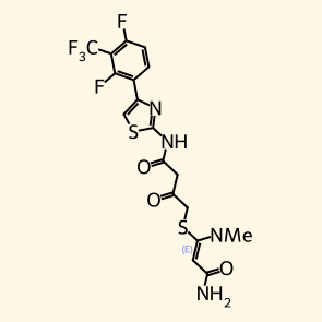 CN/C(=C\C(N)=O)SCC(=O)CC(=O)Nc1nc(-c2ccc(F)c(C(F)(F)F)c2F)cs1